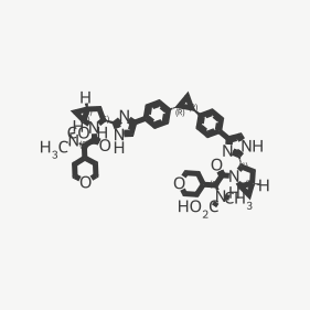 CN(C(=O)O)[C@H](C(=O)N1[C@@H]2C[C@@H]2C[C@H]1c1nc(-c2ccc([C@@H]3C[C@H]3c3ccc(-c4c[nH]c([C@@H]5C[C@H]6C[C@H]6N5C(=O)[C@H](C5CCOCC5)N(C)C(=O)O)n4)cc3)cc2)c[nH]1)C1CCOCC1